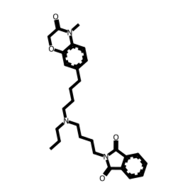 CCCN(CCCCc1ccc2c(c1)OCC(=O)N2C)CCCCN1C(=O)c2ccccc2C1=O